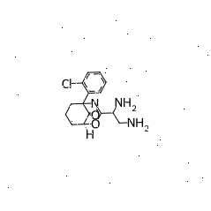 NCC(N)C1=NC2(c3ccccc3Cl)CCC[C@H](O1)C2=O